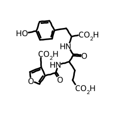 O=C(O)CCC(NC(=O)c1cocc1C(=O)O)C(=O)NC(Cc1ccc(O)cc1)C(=O)O